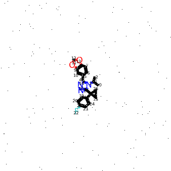 CC(C)n1c(-c2ccc3c(c2)OCO3)nnc1C1(c2ccc(F)cc2)CC1